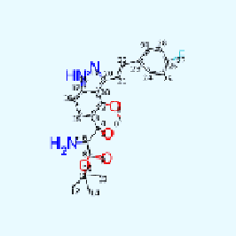 COc1c(C(=O)C(N)C(=O)OC(C)(C)C)ccc2[nH]nc(C=Cc3ccc(F)cc3)c12